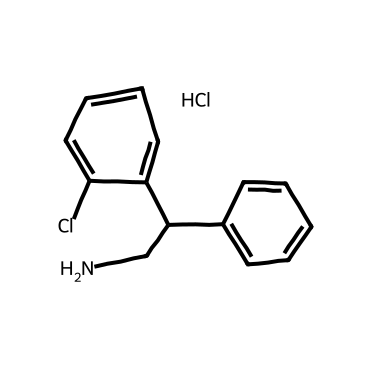 Cl.NCC(c1ccccc1)c1ccccc1Cl